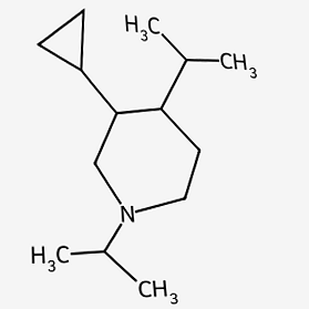 CC(C)C1CCN(C(C)C)CC1C1CC1